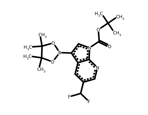 CC(C)(C)OC(=O)n1cc(B2OC(C)(C)C(C)(C)O2)c2cc(C(F)F)cnc21